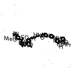 COc1cc(C(CC(=O)O)c2ccc(C)c(CN3CC(C)Oc4cc(CCCCCCNC(=O)CN5CCN(c6ccc(Nc7ncc(Cl)c(Nc8ccccc8S(=O)(=O)C(C)C)n7)cc6)CC5)ccc4S3(O)O)c2)cc2nnn(C)c12